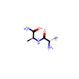 CC(C)[C@H](N)C(=O)N[C@@H](C)C(N)=O